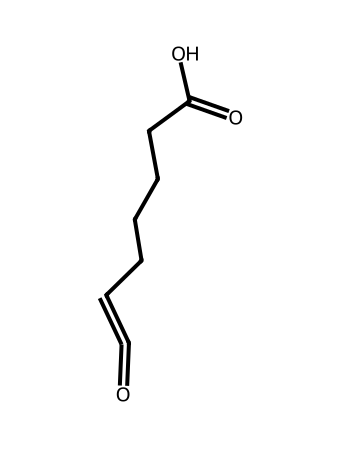 O=C=CCCCCC(=O)O